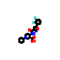 O=C(N[C@@H]1CCN(C2CCCCC2)C[C@H]1C(=O)O)c1cc(-c2cccc(F)c2F)on1